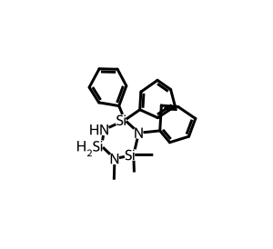 CN1[SiH2]N[Si](c2ccccc2)(c2ccccc2)N(c2ccccc2)[Si]1(C)C